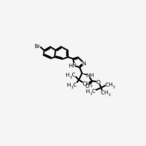 CC(C)(C)OC(=O)N[C@H](c1ncc(-c2ccc3cc(Br)ccc3c2)[nH]1)C(C)(C)C